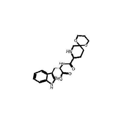 COC(=O)[C@H](Cc1c[nH]c2ccccc12)NC(=O)C1CCC2(CN1)OCCCO2